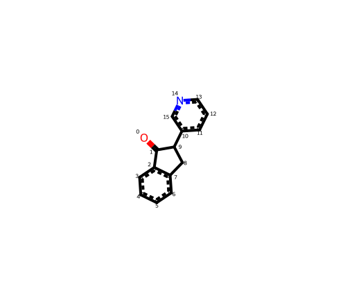 O=C1c2ccccc2CC1c1cccnc1